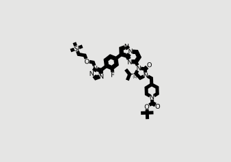 CC(C)[C@H]1CN(CC2CCN(C(=O)OC(C)(C)C)CC2)C(=O)N1c1ccn2ncc(-c3ccc(-c4ncnn4COCC[Si](C)(C)C)c(F)c3)c2n1